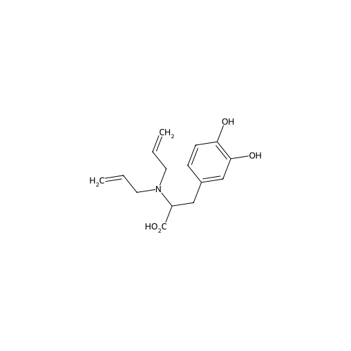 C=CCN(CC=C)C(Cc1ccc(O)c(O)c1)C(=O)O